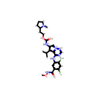 CONC(=O)c1cc(Nc2ncnn3cc(NC(=O)OCCC4CCCN4C)c(C(C)C)c23)c(F)cc1F